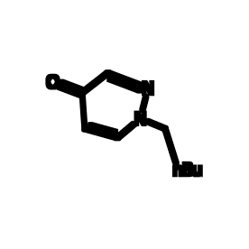 CCCCCn1ccc(=O)cn1